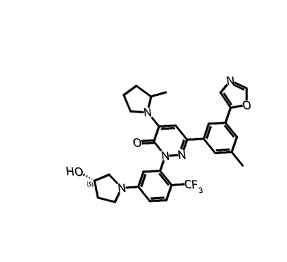 Cc1cc(-c2cc(N3CCCC3C)c(=O)n(-c3cc(N4CC[C@H](O)C4)ccc3C(F)(F)F)n2)cc(-c2cnco2)c1